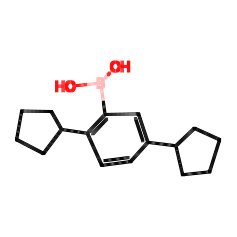 OB(O)c1cc(C2CCCC2)ccc1C1CCCC1